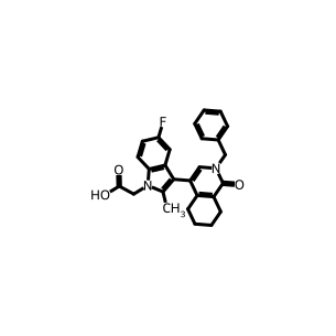 Cc1c(-c2cn(Cc3ccccc3)c(=O)c3c2CCCC3)c2cc(F)ccc2n1CC(=O)O